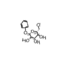 O[C@@H]1[C@@H](O)[C@H](Oc2ccccc2)O[C@H](CCl)[C@H]1O